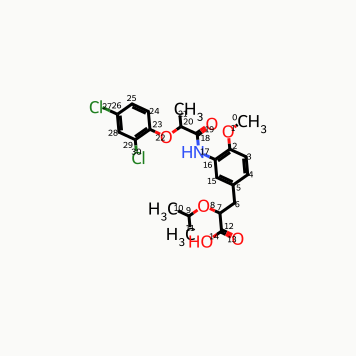 COc1ccc(CC(OC(C)C)C(=O)O)cc1NC(=O)C(C)Oc1ccc(Cl)cc1Cl